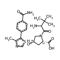 CC(C)(C)C(N)C(=O)N1C[C@H](O)C[C@H]1C(=O)O.Cc1ncsc1-c1ccc(C(N)=O)cc1